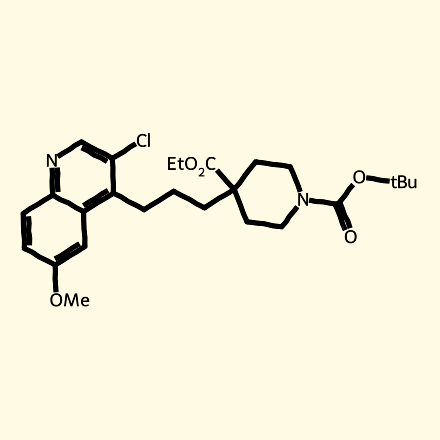 CCOC(=O)C1(CCCc2c(Cl)cnc3ccc(OC)cc23)CCN(C(=O)OC(C)(C)C)CC1